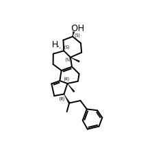 CC(Cc1ccccc1)[C@H]1CC=C2C3=C(CC[C@@]21C)[C@@]1(C)CC[C@H](O)C[C@@H]1CC3